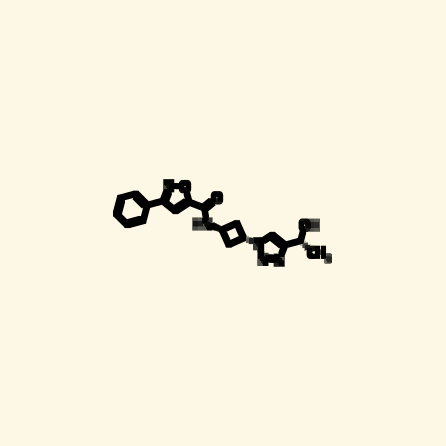 C[C@@H](O)c1cn([C@H]2C[C@H](NC(=O)c3cc(-c4ccccc4)no3)C2)nn1